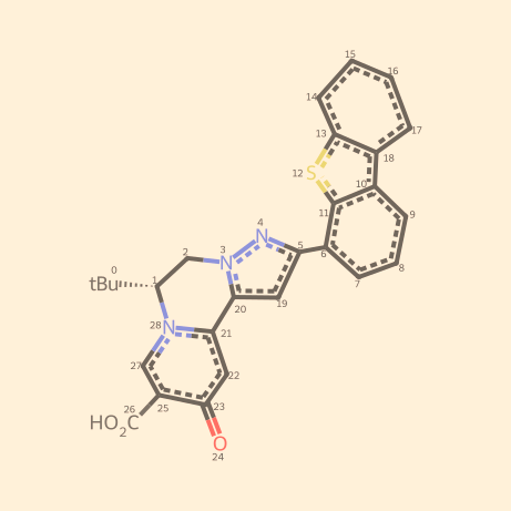 CC(C)(C)[C@@H]1Cn2nc(-c3cccc4c3sc3ccccc34)cc2-c2cc(=O)c(C(=O)O)cn21